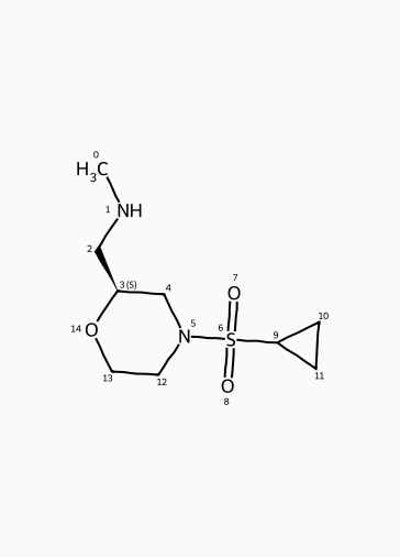 CNC[C@H]1CN(S(=O)(=O)C2CC2)CCO1